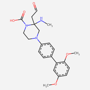 CNC1(CC=O)CN(c2ccc(-c3cc(OC)ccc3OC)cc2)CCN1C(=O)O